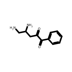 NCC(N)CC(=O)C(=O)c1ccccc1